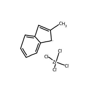 CC1=Cc2ccccc2[CH]1.[Cl][Zr]([Cl])([Cl])[Cl]